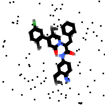 CN/C=C1/C=C(NC(=O)C(Cc2ccccc2)n2cc(OC)c(-c3cc(Cl)ccc3C(C)=O)cc2=O)C=CC1=N